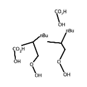 CCCCC(C)COO.CCCCC(C)COO.O=C(O)O.O=C(O)O